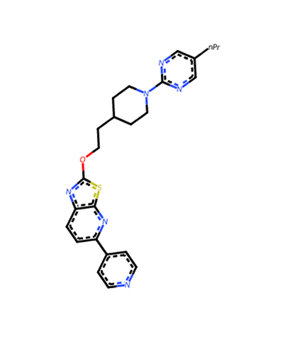 CCCc1cnc(N2CCC(CCOc3nc4ccc(-c5ccncc5)nc4s3)CC2)nc1